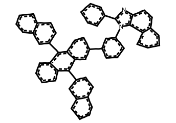 c1ccc(-c2nc3ccc4ccccc4c3n2-c2cccc(-c3ccc4c(-c5ccc6ccccc6c5)c5ccccc5c(-c5ccc6ccccc6c5)c4c3)c2)cc1